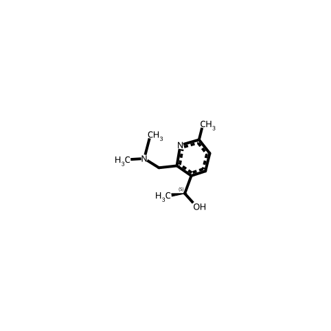 Cc1ccc([C@H](C)O)c(CN(C)C)n1